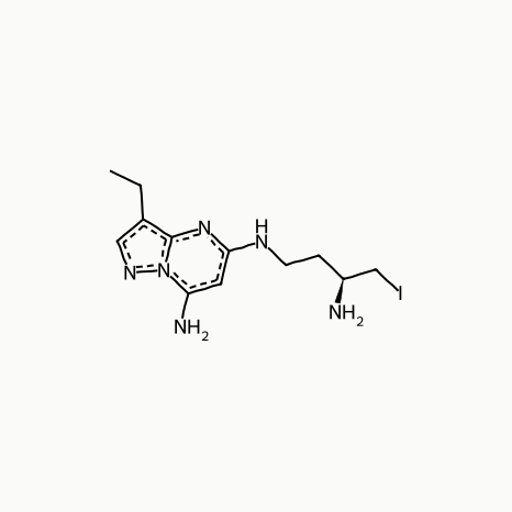 CCc1cnn2c(N)cc(NCC[C@H](N)CI)nc12